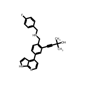 CC(C)(O)C#Cc1cc(-c2ccnc3[nH]ccc23)ccc1CNCc1ccc(F)cc1